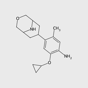 Cc1cc(N)c(OC2CC2)cc1C1CC2COCC(C1)N2